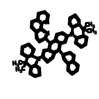 CC1(C)c2ccccc2N(c2ccc3c(-c4ccc5ccc6cccnc6c5n4)c4cc(N5c6ccccc6C(C)(C)c6ccccc65)ccc4c(-c4ccc5ccccc5c4)c3c2)c2ccccc21